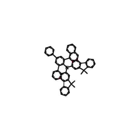 CC1(C)c2ccccc2-c2ccc(N(c3ccc4c(c3)C(C)(C)c3ccccc3-4)c3c(-c4ccccc4)cc(-c4ccccc4)cc3-c3cccc4ccccc34)cc21